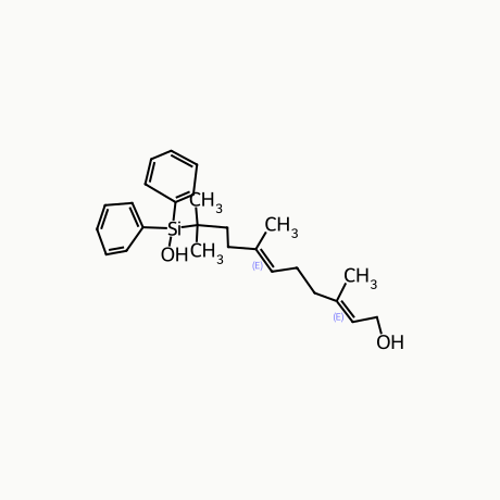 C/C(=C\CO)CC/C=C(\C)CCC(C)(C)[Si](O)(c1ccccc1)c1ccccc1